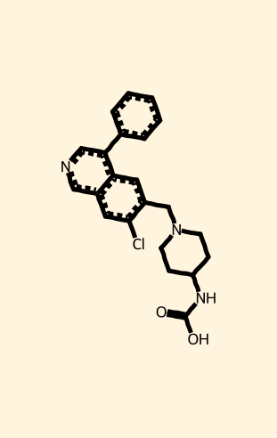 O=C(O)NC1CCN(Cc2cc3c(-c4ccccc4)cncc3cc2Cl)CC1